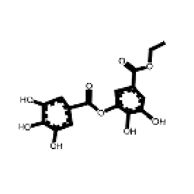 CCOC(=O)c1cc(O)c(O)c(OC(=O)c2cc(O)c(O)c(O)c2)c1